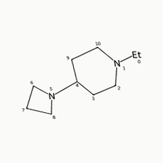 CCN1CCC(N2CCC2)CC1